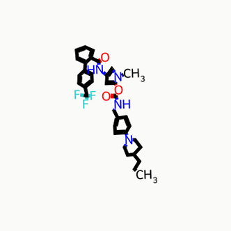 CCCC1CCN(c2ccc(CNC(=O)Oc3cc(NC(=O)c4ccccc4-c4ccc(C(F)(F)F)cc4)cn3C)cc2)CC1